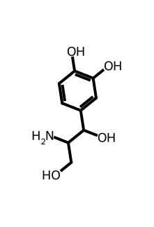 NC(CO)C(O)c1ccc(O)c(O)c1